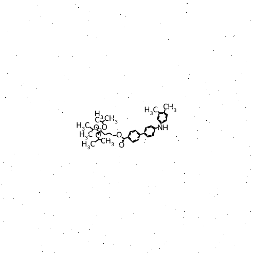 Cc1ccc(Nc2ccc(-c3ccc(C(=O)OCCC[Si](OC(C)C)(OC(C)C)OC(C)C)cc3)cc2)cc1C